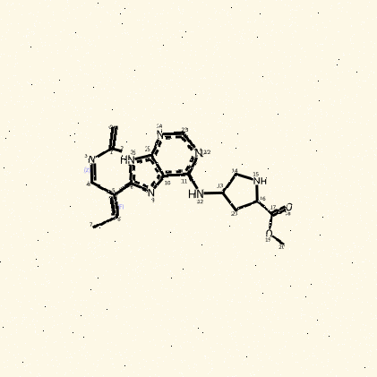 C=C(C)/N=C\C(=C/C)c1nc2c(NC3CNC(C(=O)OC)C3)ncnc2[nH]1